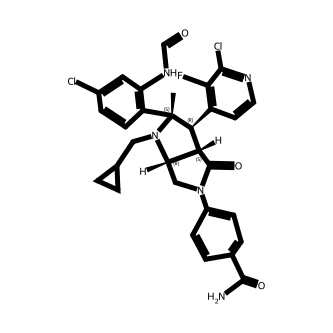 C[C@@]1(c2ccc(Cl)cc2NC=O)[C@@H](c2ccnc(Cl)c2F)[C@@H]2C(=O)N(c3ccc(C(N)=O)cc3)C[C@@H]2N1CC1CC1